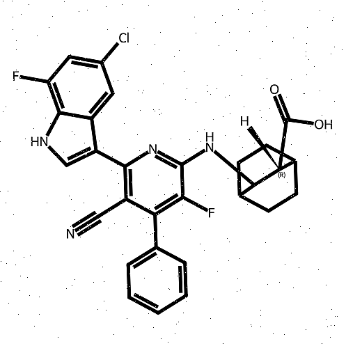 N#Cc1c(-c2c[nH]c3c(F)cc(Cl)cc23)nc(NC2C3CCC(CC3)[C@H]2C(=O)O)c(F)c1-c1ccccc1